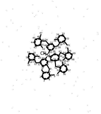 Cc1cccc(C)c1Cc1cc(Cc2c(C)cccc2C)cc([Si](Cl)(c2cc(Cc3c(C)cccc3C)cc(Cc3c(C)cccc3C)c2)c2cc(Cc3c(C)cccc3C)cc(Cc3c(C)cccc3C)c2)c1